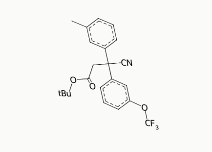 Cc1cccc(C(C#N)(CC(=O)OC(C)(C)C)c2cccc(OC(F)(F)F)c2)c1